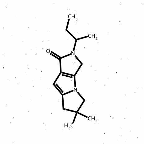 CCC(C)N1Cc2c(cc3n2CC(C)(C)C3)C1=O